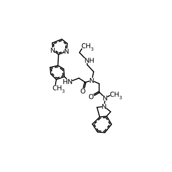 CCNCCN(CC(=O)N(C)N1Cc2ccccc2C1)C(=O)CNc1cc(-c2ncccn2)ccc1C